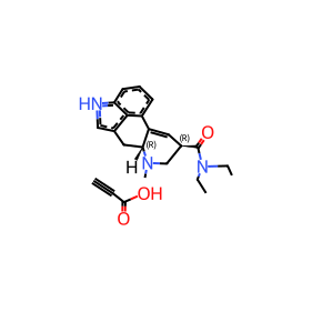 C#CC(=O)O.CCN(CC)C(=O)[C@@H]1C=C2c3cccc4[nH]cc(c34)C[C@H]2N(C)C1